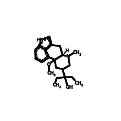 CCC(O)(CC)C1CN(C)[C@@H]2Cc3c[nH]c4cccc(c34)[C@@]2(OC)C1